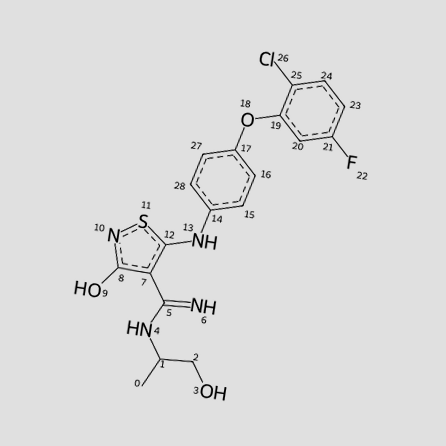 CC(CO)NC(=N)c1c(O)nsc1Nc1ccc(Oc2cc(F)ccc2Cl)cc1